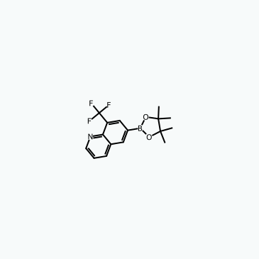 CC1(C)OB(c2cc(C(F)(F)F)c3ncccc3c2)OC1(C)C